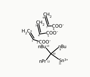 C=CC(=O)[O-].C=CC(=O)[O-].C=CC(=O)[O-].CCCC[C]([Sn+3])(CCC)CCCC